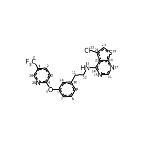 FC(F)(F)c1ccc(Oc2cccc(CCNc3ncnc4scc(Cl)c34)c2)nc1